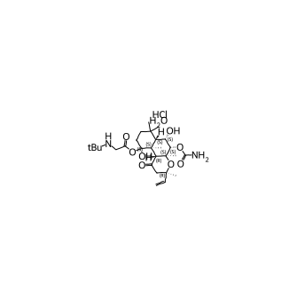 C=C[C@@]1(C)CC(=O)[C@H]2[C@](C)(O1)[C@@H](OC(N)=O)[C@@H](O)[C@H]1C(C)(C)CC[C@](O)(OC(=O)CNC(C)(C)C)[C@@]12C.Cl.O